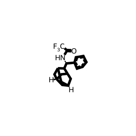 O=C(N[C@H](c1ccccc1)C1C2C[C@H]3CC1C[C@H](C2)C3)C(F)(F)F